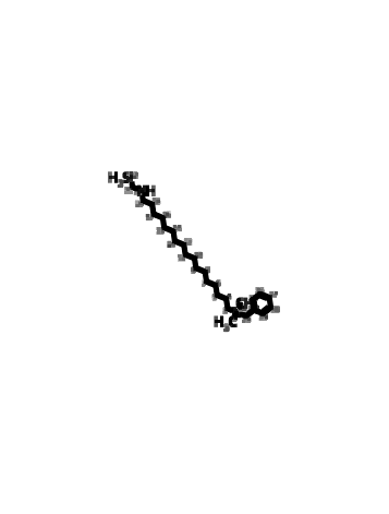 C[N+](C)(CCCCCCCCCCCCCCCCCNC[SiH3])Cc1ccccc1